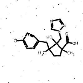 CC1(Cc2ccc(Cl)cc2)CCC(C)(C(=O)O)C1(O)Cn1cncn1